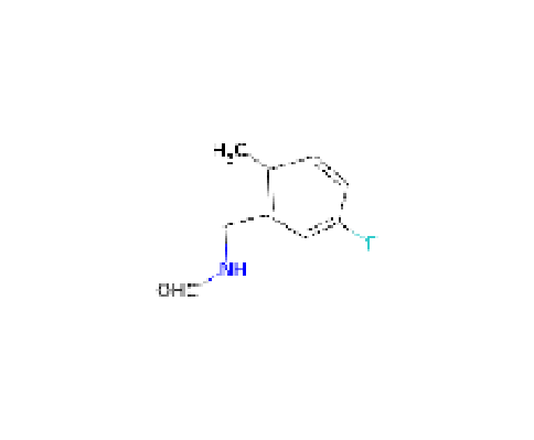 Cc1ccc(F)cc1CNC=O